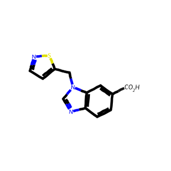 O=C(O)c1ccc2ncn(Cc3ccns3)c2c1